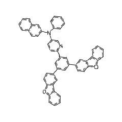 c1ccc(N(c2ccc(-c3cc(-c4ccc5oc6ccccc6c5c4)cc(-c4ccc5oc6ccccc6c5c4)c3)nc2)c2ccc3ccccc3c2)cc1